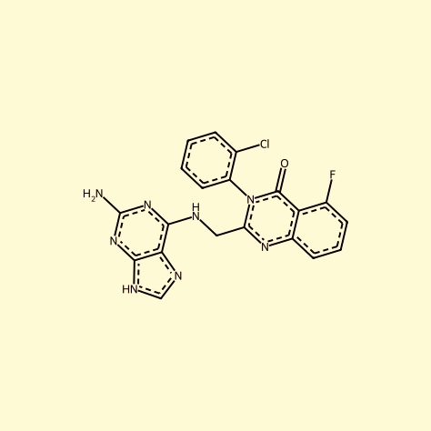 Nc1nc(NCc2nc3cccc(F)c3c(=O)n2-c2ccccc2Cl)c2nc[nH]c2n1